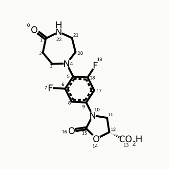 O=C1CCN(c2c(F)cc(N3C[C@H](C(=O)O)OC3=O)cc2F)CCN1